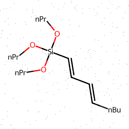 CCCCC=CC=C[Si](OCCC)(OCCC)OCCC